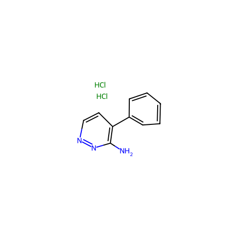 Cl.Cl.Nc1nnccc1-c1ccccc1